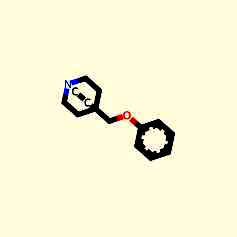 c1ccc(OCC23CCN(CC2)CC3)cc1